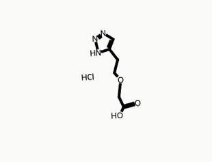 Cl.O=C(O)COCCc1cnn[nH]1